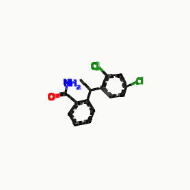 CC(c1ccc(Cl)cc1Cl)c1ccccc1C(N)=O